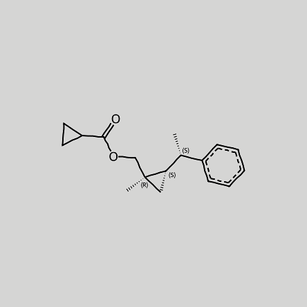 C[C@H](c1ccccc1)[C@@H]1C[C@@]1(C)COC(=O)C1CC1